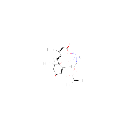 C=C(C)C(O)OCC[N+](C)(C)NOC(=O)/C=C(C)\C=C\C1(O)C(C)=CC(=O)CC1(C)C